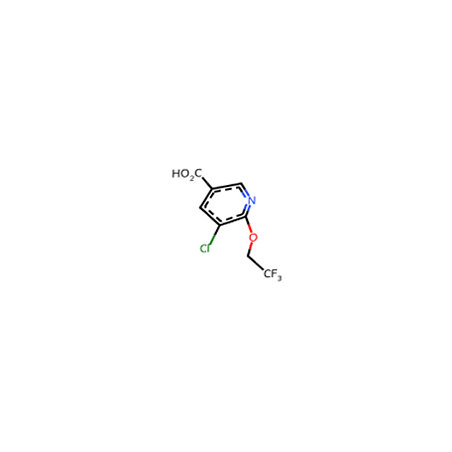 O=C(O)c1cnc(OCC(F)(F)F)c(Cl)c1